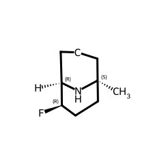 C[C@@]12CCC[C@@H](N1)[C@H](F)CC2